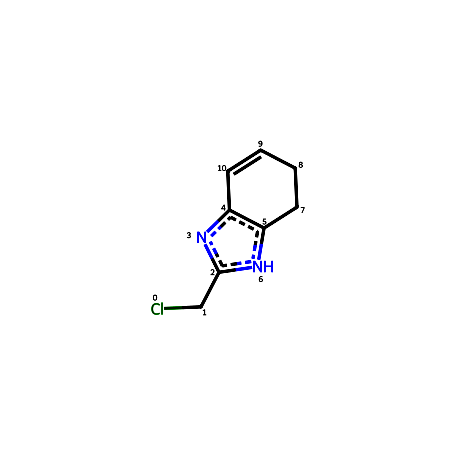 ClCc1nc2c([nH]1)CCC=C2